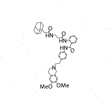 COc1cc2c(cc1OC)CN(CCc1ccc(NC(=O)c3ccccc3NC(=O)CCNC(=O)CC34CC5CC(CC(C5)C3)C4)cc1)CC2